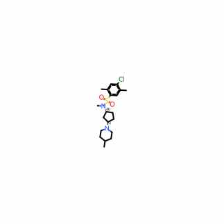 Cc1cc(S(=O)(=O)N(C)[C@@H]2CC[C@H](N3CCC(C)CC3)C2)c(C)cc1Cl